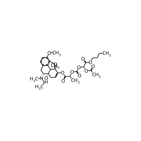 CCCCOC(=O)[C@@H](OC(C)=O)OC(=O)O[C@@H](C)C(=O)OC1=CC[C@@]2(O)[C@H](N(C)CC)Cc3ccc(OC)c4c3[C@@]2(C)[C@H]1O4